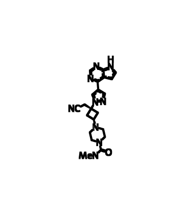 CNC(=O)N1CCN([C@H]2C[C@](CC#N)(n3cc(-c4ncnc5[nH]ccc45)cn3)C2)CC1